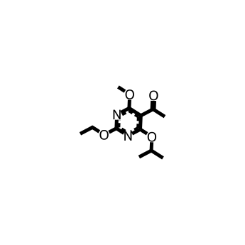 CCOc1nc(OC)c(C(C)=O)c(OC(C)C)n1